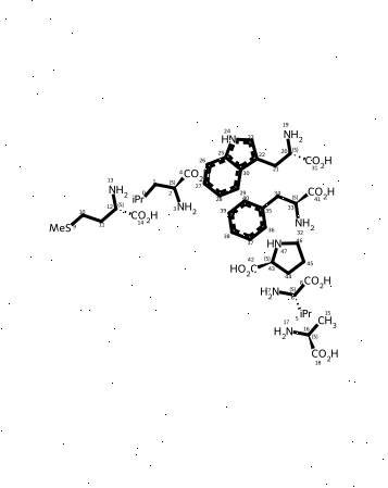 CC(C)C[C@H](N)C(=O)O.CC(C)[C@H](N)C(=O)O.CSCC[C@H](N)C(=O)O.C[C@H](N)C(=O)O.N[C@@H](Cc1c[nH]c2ccccc12)C(=O)O.N[C@@H](Cc1ccccc1)C(=O)O.O=C(O)[C@@H]1CCCN1